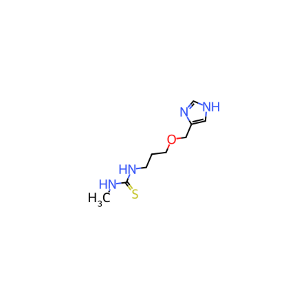 CNC(=S)NCCCOCc1c[nH]cn1